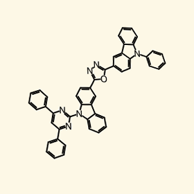 c1ccc(-c2cc(-c3ccccc3)nc(-n3c4ccccc4c4cc(-c5nnc(-c6ccc7c(c6)c6ccccc6n7-c6ccccc6)o5)ccc43)n2)cc1